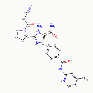 Cc1ccnc(NC(=O)c2ccc(-c3nc([C@@H]4CCCN4C(=O)CC#N)n(N)c3C(N)=O)cc2)c1